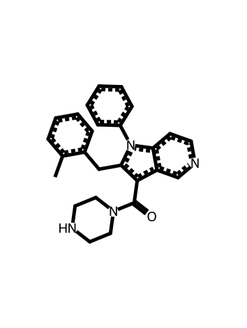 Cc1ccccc1Cc1c(C(=O)N2CCNCC2)c2cnccc2n1-c1ccccc1